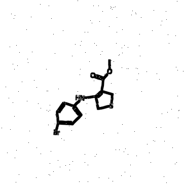 COC(=O)C1=C(Nc2ccc(Br)cc2)CSC1